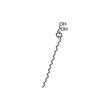 CCCCCCCCCCCCCCCCCCCCCCN1CCN(CC(O)CO)CC1